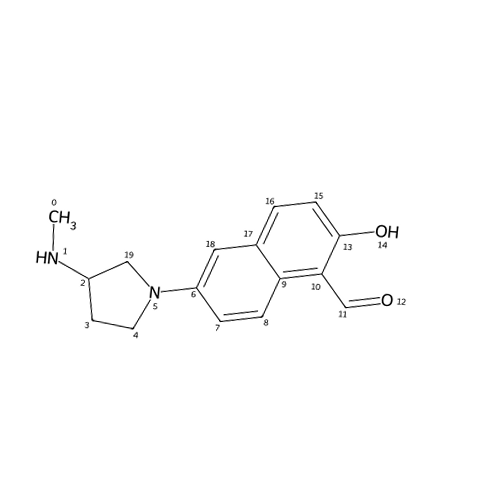 CNC1CCN(c2ccc3c(C=O)c(O)ccc3c2)C1